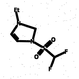 CCN1C=CN(S(=O)(=O)C(F)F)C1